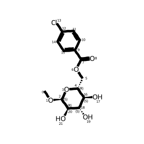 CO[C@H]1O[C@H](COC(=O)c2ccc(Cl)cc2)[C@@H](O)[C@H](O)[C@H]1O